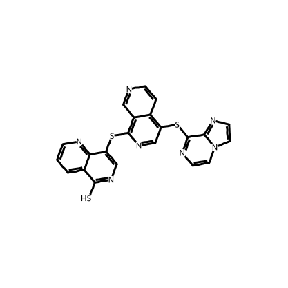 Sc1ncc(Sc2ncc(Sc3nccn4ccnc34)c3ccncc23)c2ncccc12